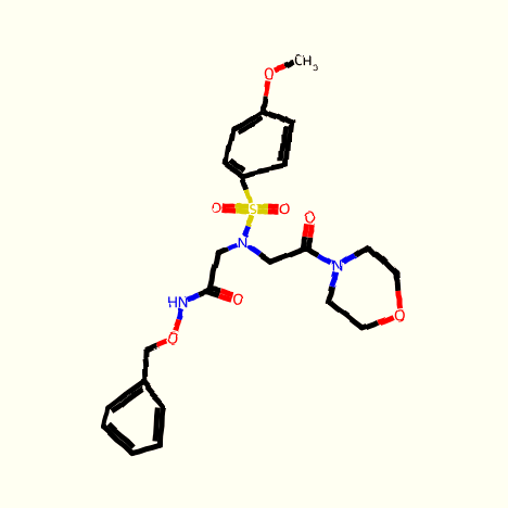 COc1ccc(S(=O)(=O)N(CC(=O)NOCc2ccccc2)CC(=O)N2CCOCC2)cc1